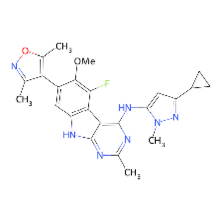 COc1c(-c2c(C)noc2C)cc2[nH]c3nc(C)nc(Nc4cc(C5CC5)nn4C)c3c2c1F